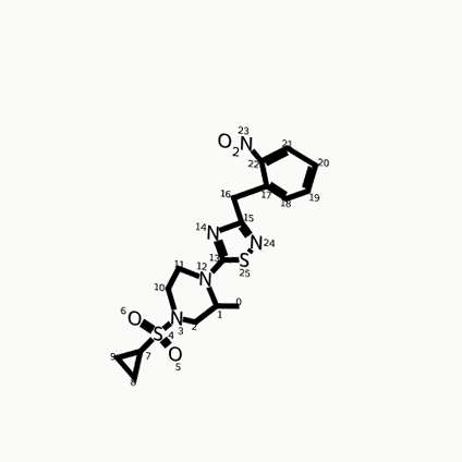 CC1CN(S(=O)(=O)C2CC2)CCN1c1nc(Cc2ccccc2[N+](=O)[O-])ns1